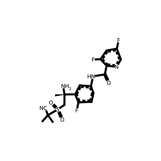 CC(C)(C#N)S(=O)(=O)C[C@](C)(N)c1cc(NC(=O)c2ncc(F)cc2F)ccc1F